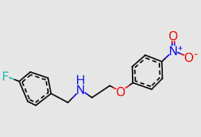 O=[N+]([O-])c1ccc(OCCNCc2ccc(F)cc2)cc1